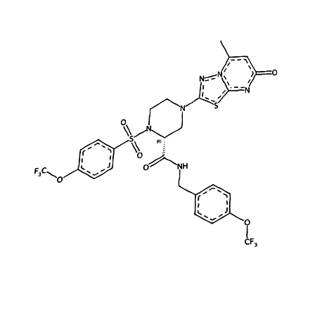 Cc1cc(=O)nc2sc(N3CCN(S(=O)(=O)c4ccc(OC(F)(F)F)cc4)[C@@H](C(=O)NCc4ccc(OC(F)(F)F)cc4)C3)nn12